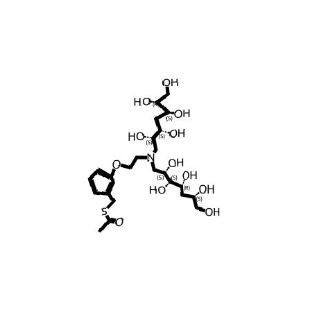 CC(=O)SCc1cccc(OCCN(C[C@H](O)[C@@H](O)[C@H](O)C[C@H](O)CO)C[C@H](O)[C@@H](O)C[C@H](O)[C@H](O)CO)c1